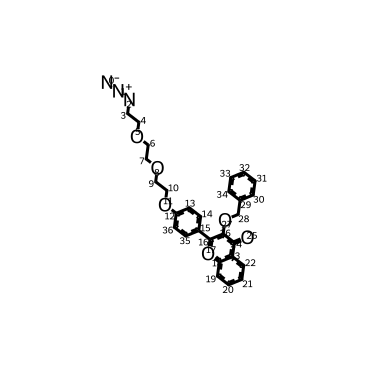 [N-]=[N+]=NCCOCCOCCOc1ccc(-c2oc3ccccc3c(=O)c2OCc2ccccc2)cc1